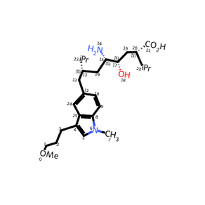 COCCCc1cn(C)c2ccc(C[C@@H](C[C@H](N)[C@@H](O)C[C@H](C(=O)O)C(C)C)C(C)C)cc12